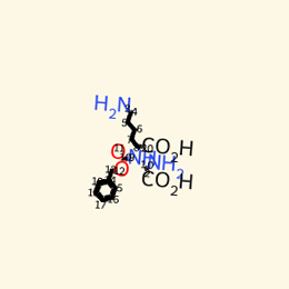 NCC(=O)O.NCCCCC(NC(=O)OCc1ccccc1)C(=O)O